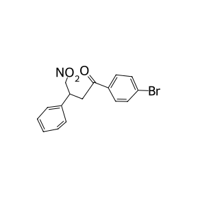 O=C(CC(C[N+](=O)[O-])c1ccccc1)c1ccc(Br)cc1